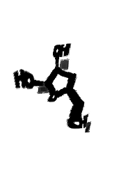 C=CC1C[C@@H](O)[C@@H](O)O1